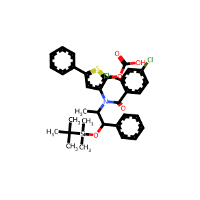 CC(C(O[Si](C)(C)C(C)(C)C)c1ccccc1)N(C(=O)c1ccc(Cl)cc1Cl)c1cc(-c2ccccc2)sc1OC(=O)O